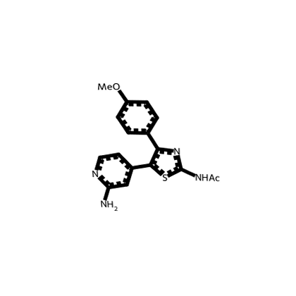 COc1ccc(-c2nc(NC(C)=O)sc2-c2ccnc(N)c2)cc1